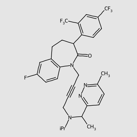 Cc1ccc(C(C)N(CC#CCN2C(=O)C(c3ccc(C(F)(F)F)cc3C(F)(F)F)CCc3cc(F)ccc32)C(C)C)nn1